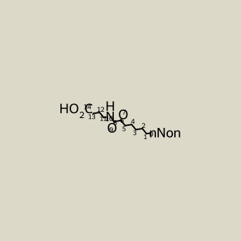 CCCCCCCCCCCCCCC(=O)C(=O)NCCCC(=O)O